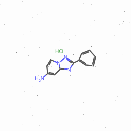 Cl.Nc1ccn2nc(-c3ccccc3)nc2c1